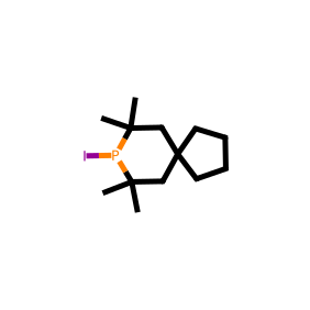 CC1(C)CC2(CCCC2)CC(C)(C)P1I